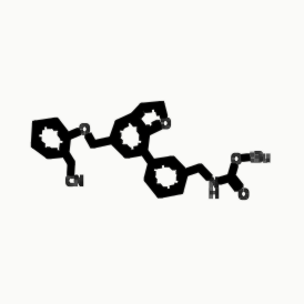 CC(C)(C)OC(=O)NCc1cccc(-c2cc(COc3ccccc3CC#N)cc3ccoc23)c1